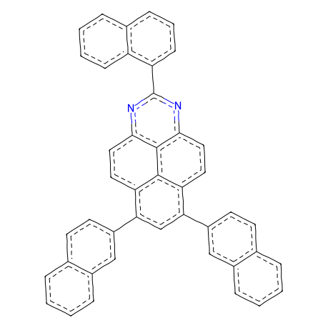 c1ccc2cc(-c3cc(-c4ccc5ccccc5c4)c4ccc5nc(-c6cccc7ccccc67)nc6ccc3c4c65)ccc2c1